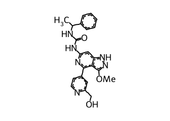 COc1n[nH]c2cc(NC(=O)NC(C)c3ccccc3)nc(-c3ccnc(CO)c3)c12